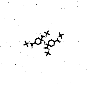 CC(C)(C)OC(=O)C1CCC(OOC2(C(=O)OC(C)(C)C)CCC(C(=O)OC(C)(C)C)CC2)(C(=O)OC(C)(C)C)CC1